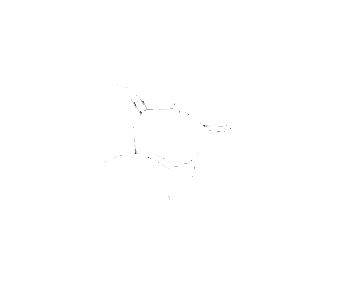 O=c1[nH]cc(F)c(=O)[nH]1.[Ca]